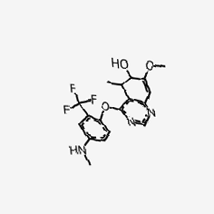 CNc1ccc(Oc2ncnc3c2C(C)C(O)C(OC)=C3)c(C(F)(F)F)c1